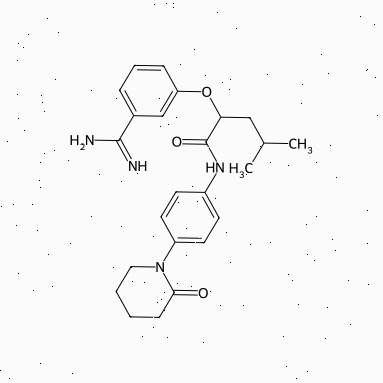 CC(C)CC(Oc1cccc(C(=N)N)c1)C(=O)Nc1ccc(N2CCCCC2=O)cc1